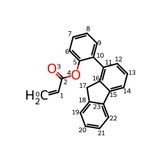 C=CC(=O)Oc1ccccc1-c1cccc2c1Cc1ccccc1-2